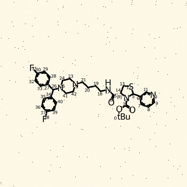 CC(C)(C)OC(=O)N1C(c2cccnc2)SC[C@H]1C(=O)NCCCCN1CCN(C(c2ccc(F)cc2)c2ccc(F)cc2)CC1